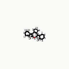 Cc1sc2ccccc2c1C1=C(c2c(C)sc3ccccc23)CCC1